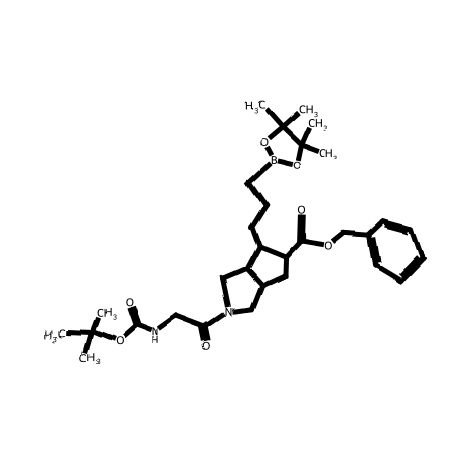 CC(C)(C)OC(=O)NCC(=O)N1CC2CC(C(=O)OCc3ccccc3)C(CCCB3OC(C)(C)C(C)(C)O3)C2C1